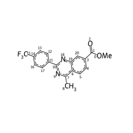 COC(=O)c1ccc2c(C)nc(-c3ccc(C(F)(F)F)cc3)nc2c1